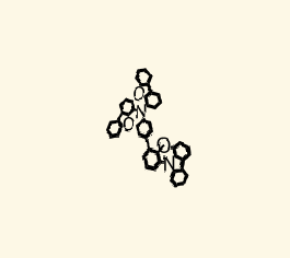 c1cc(-c2ccc(N(c3cccc4c3oc3ccccc34)c3cccc4c3oc3ccccc34)cc2)c2c(c1)-n1c3ccccc3c3cccc(c31)O2